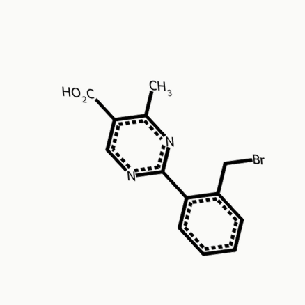 Cc1nc(-c2ccccc2CBr)ncc1C(=O)O